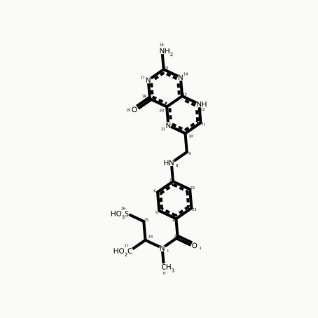 CN(C(=O)c1ccc(NCc2c[nH]c3nc(N)nc(=O)c-3n2)cc1)C(CS(=O)(=O)O)C(=O)O